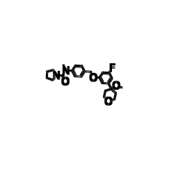 COC1(c2cc(F)cc(OCc3ccc(N(C)C(=O)N4CCCC4)cc3)c2)CCOCC1